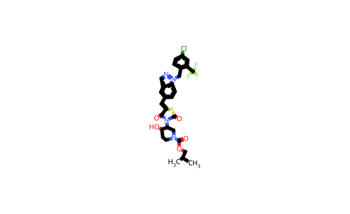 CC(C)COC(=O)N1CCC(O)C(N2C(=O)S/C(=C\c3ccc4c(cnn4Cc4ccc(Cl)cc4C(F)(F)F)c3)C2=O)C1